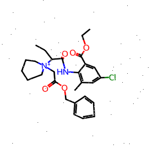 CCOC(=O)c1cc(Cl)cc(C)c1NC(=O)C(CC)[N+]1(CC(=O)OCc2ccccc2)CCCCC1